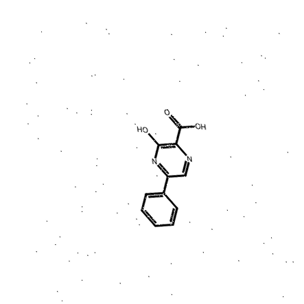 O=C(O)c1ncc(-c2ccccc2)nc1O